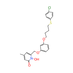 Cc1cc(COc2cccc(OCCCCSc3ccc(Cl)cc3)c2)n(O)c(=O)c1